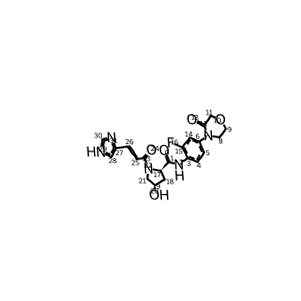 O=C(Nc1ccc(N2CCOCC2=O)cc1F)[C@H]1C[C@@H](O)CN1C(=O)/C=C/c1c[nH]cn1